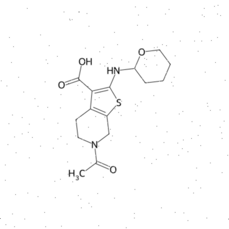 CC(=O)N1CCc2c(sc(NC3CCCCO3)c2C(=O)O)C1